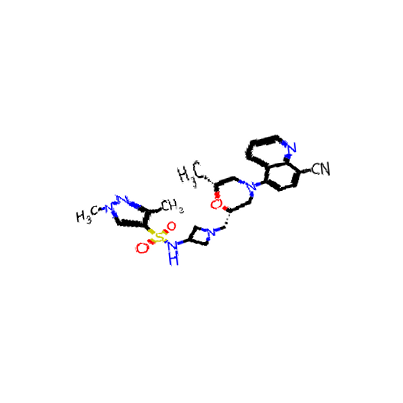 Cc1nn(C)cc1S(=O)(=O)NC1CN(C[C@H]2CN(c3ccc(C#N)c4ncccc34)C[C@@H](C)O2)C1